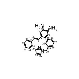 Nc1ccc(C=Cc2ccccc2)cc1N.c1ccc(Cn2cccn2)cc1